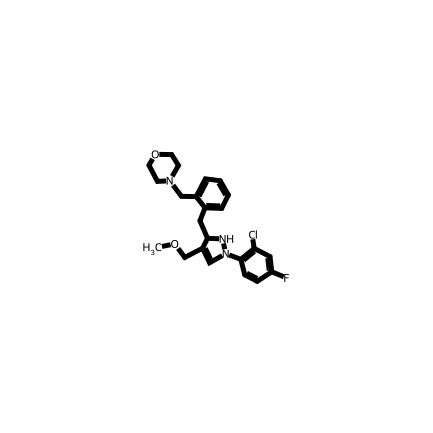 COCC1=CN(c2ccc(F)cc2Cl)NC1Cc1ccccc1CN1CCOCC1